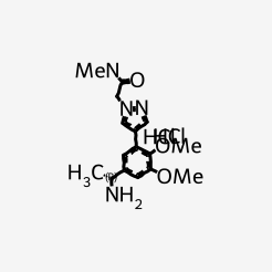 CNC(=O)Cn1cc(-c2cc([C@@H](C)N)cc(OC)c2OC)cn1.Cl.Cl